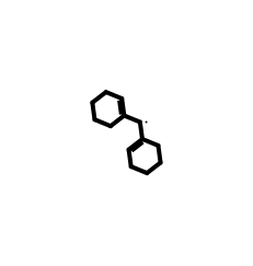 [CH](C1=CCCCC1)C1=CCCCC1